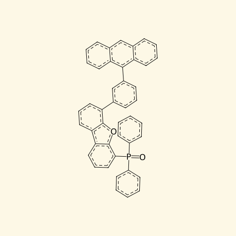 O=P(c1ccccc1)(c1ccccc1)c1cccc2c1oc1c(-c3cccc(-c4c5ccccc5cc5ccccc45)c3)cccc12